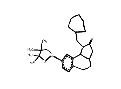 CC1(C)OB(c2ccc3c(c2)C2C(CC3)CC(=O)N2CC2CCCCC2)OC1(C)C